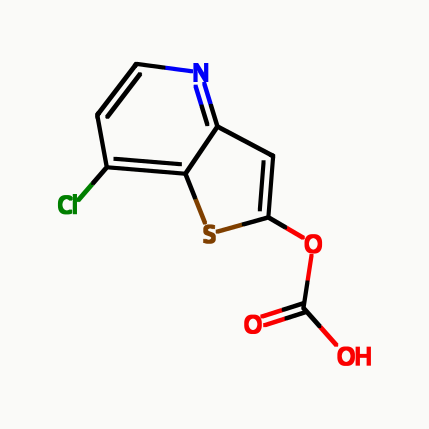 O=C(O)Oc1cc2nccc(Cl)c2s1